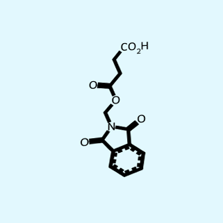 O=C(O)CCC(=O)OCN1C(=O)c2ccccc2C1=O